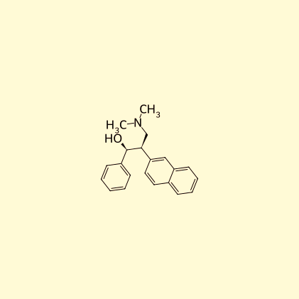 CN(C)C[C@@H](c1ccc2ccccc2c1)[C@H](O)c1ccccc1